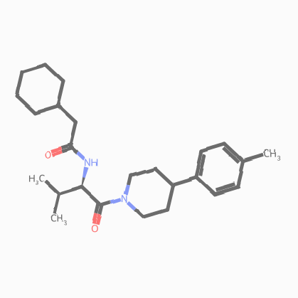 Cc1ccc(C2CCN(C(=O)[C@H](NC(=O)CC3CCCCC3)C(C)C)CC2)cc1